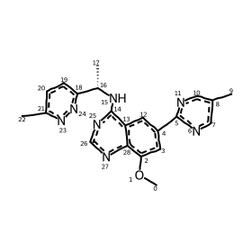 COc1cc(-c2ncc(C)cn2)cc2c(N[C@@H](C)c3ccc(C)nn3)ncnc12